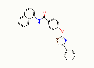 O=C(Nc1cccc2ccccc12)c1ccc(Oc2nc(-c3ccccc3)cs2)cc1